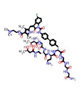 CCN(CC)CCNC(=O)c1c(C)[nH]c(/C=C2\C(=O)N(C(=O)Nc3ccc(-c4ccc(C[C@@H](NC(=O)C(CCN)NC(=O)[C@H](CCNC(=O)C[C@@H](C)O)NC(=O)CNC(=O)[C@@H](N)[C@@H](C)O)C(=O)NCC(=O)NCC(=O)NCC(N)=O)cc4)cc3)c3ccc(F)cc32)c1C